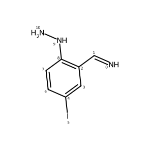 N=Cc1cc(I)ccc1NN